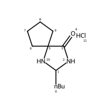 CCCCC1NC(=O)C2(CCCC2)N1.Cl